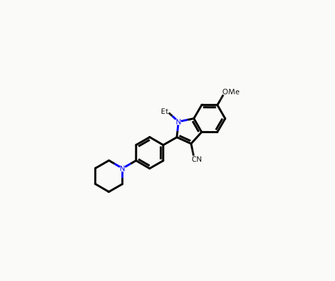 CCn1c(-c2ccc(N3CCCCC3)cc2)c(C#N)c2ccc(OC)cc21